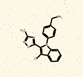 Cc1noc(-c2c(Cl)c3ccccc3n2-c2ccc(CN)cc2)n1